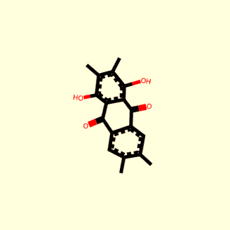 Cc1cc2c(cc1C)C(=O)c1c(O)c(C)c(C)c(O)c1C2=O